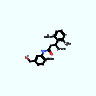 CCCCCC(CC(=O)Nc1cc(CBr)ccc1C(C)(C)C)c1c(OC)cccc1OC